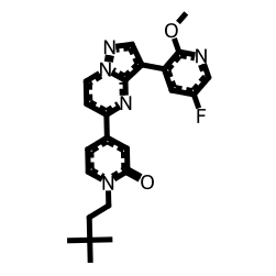 COc1ncc(F)cc1-c1cnn2ccc(-c3ccn(CCC(C)(C)C)c(=O)c3)nc12